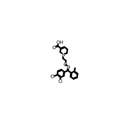 Cc1ccccc1C(=NOCCN1CCC=C(C(=O)O)C1)c1ccc(Cl)c(Cl)c1